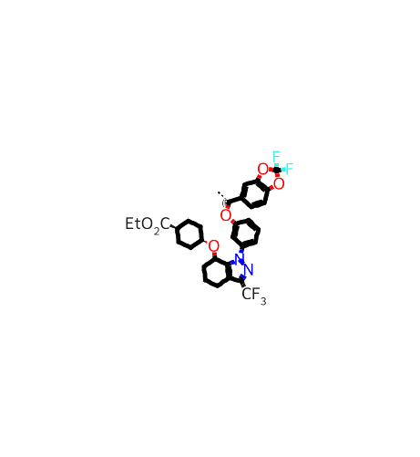 CCOC(=O)[C@H]1CC[C@H](OC2CCCc3c(C(F)(F)F)nn(-c4cccc(O[C@H](C)c5ccc6c(c5)OC(F)(F)O6)c4)c32)CC1